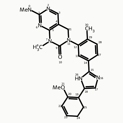 CNc1ncc2c(n1)N(C)C(=O)N(c1cc(-c3ncc(C4=C(OC)C=CCC4)[nH]3)ccc1C)C2